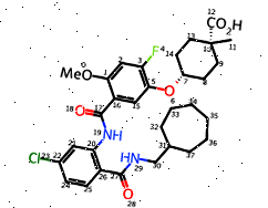 COc1cc(F)c(O[C@H]2CC[C@@](C)(C(=O)O)CC2)cc1C(=O)Nc1cc(Cl)ccc1C(=O)NCC1CCCCCC1